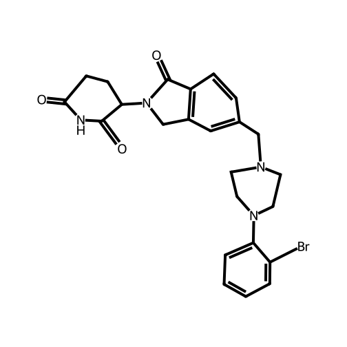 O=C1CCC(N2Cc3cc(CN4CCN(c5ccccc5Br)CC4)ccc3C2=O)C(=O)N1